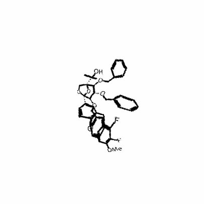 COc1ccc(Cc2cc([C@]34OC[C@](C(C)(C)O)(O3)[C@@H](OCc3ccccc3)[C@H](OCc3ccccc3)[C@H]4OCc3ccccc3)ccc2Cl)c(F)c1F